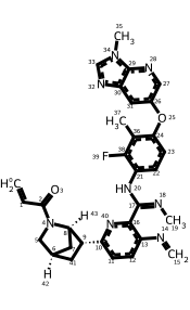 C=CC(=O)N1C[C@H]2C[C@@H]1[C@H](c1ccc(N=C)c(/C(=N\C)Nc3ccc(Oc4cnc5c(c4)ncn5C)c(C)c3F)n1)C2